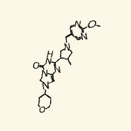 COc1ncc(CN2CC(C)C(C3=NC4=CN(C5CCOCC5)CN4C(=O)N3)C2)cn1